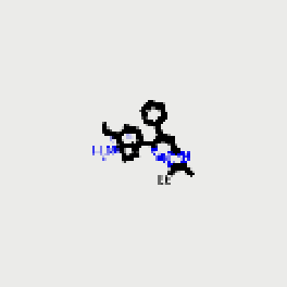 C=C(/C=C\C(=C/C)C1(N)CCC1)c1nn2c(CC)c(C)nc2cc1-c1ccccc1